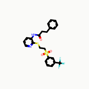 O=C(CCc1ccccc1)Nc1cccnc1SCCS(=O)(=O)c1cccc(C(F)(F)F)c1